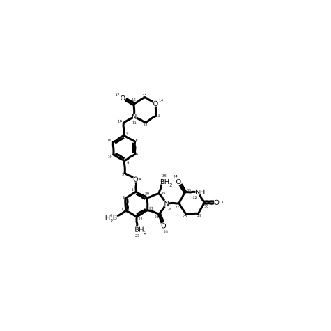 Bc1cc(OCc2ccc(CN3CCOCC3=O)cc2)c2c(c1B)C(=O)N(C1CCC(=O)NC1=O)C2B